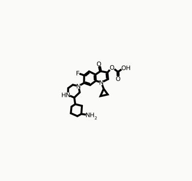 NC1CCCC(C2CN(c3cc4c(cc3F)c(=O)c(OC(=O)O)cn4C3CC3)CCN2)C1